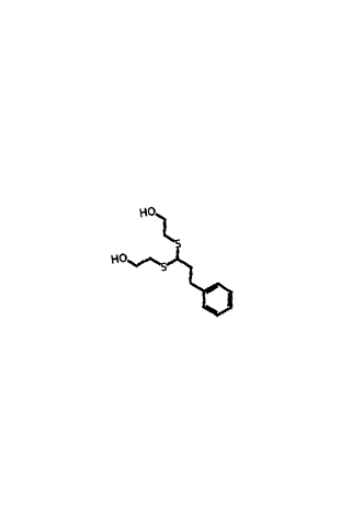 OCCSC(CCc1ccccc1)SCCO